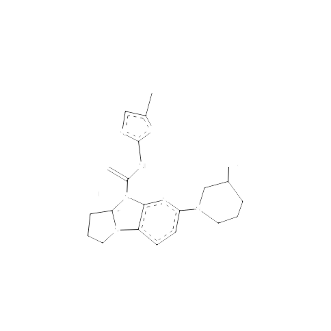 Cc1cnc(NC(=O)N2c3nc(N4CCCC(C(F)(F)F)C4)ccc3N3CCC[C@H]32)s1